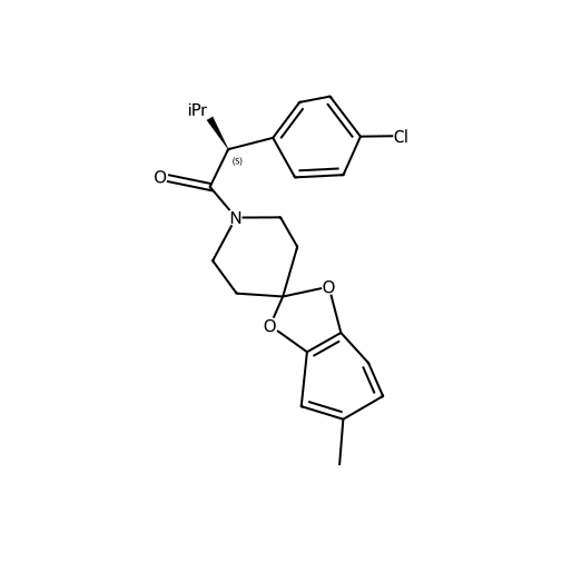 Cc1ccc2c(c1)OC1(CCN(C(=O)[C@H](c3ccc(Cl)cc3)C(C)C)CC1)O2